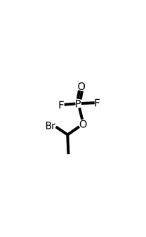 CC(Br)OP(=O)(F)F